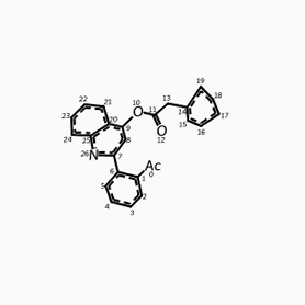 CC(=O)c1ccccc1-c1cc(OC(=O)Cc2ccccc2)c2ccccc2n1